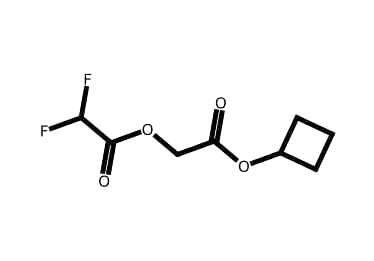 O=C(COC(=O)C(F)F)OC1CCC1